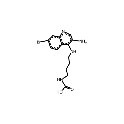 Nc1cnc2cc(Br)ccc2c1NCCCCNC(=O)O